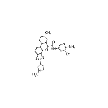 CCc1cc(NC(=O)C(=O)N2C[C@@H](C)CCC2c2ccc3sc(C4CCN(C)C4)nc3c2)cnc1N